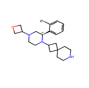 CC(C)c1ccccc1[C@@H]1CN(C2COC2)CCN1C1CC2(CCNCC2)C1